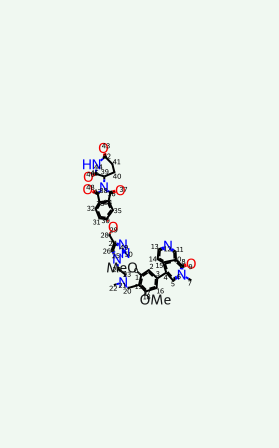 COc1cc(-c2cn(C)c(=O)c3cnccc23)cc(OC)c1CN(C)CCn1cc(COc2ccc3c(c2)C(=O)N(C2CCC(=O)NC2=O)C3=O)nn1